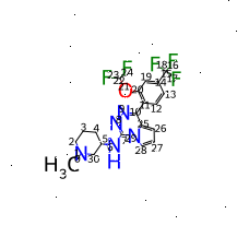 CN1CCC[C@@H](Nc2nnc(-c3ccc(C(F)(F)F)cc3OC(F)F)c3cccn23)C1